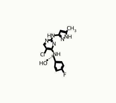 Cc1cc(Nc2ncc(Cl)c(N[C@@H](CO)c3ccc(F)cc3)n2)n[nH]1